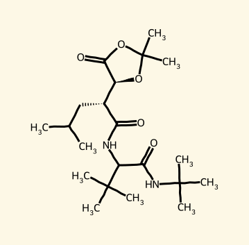 CC(C)C[C@@H](C(=O)NC(C(=O)NC(C)(C)C)C(C)(C)C)[C@@H]1OC(C)(C)OC1=O